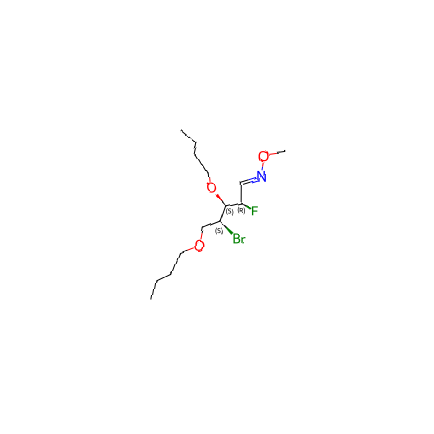 CCCCOC[C@H](Br)[C@@H](OCCCC)[C@H](F)C=NOC